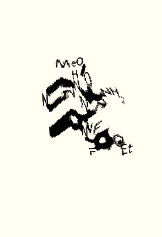 CCOc1cc(F)c(Cn2nc(-c3nc(N)c(OCCOC)c(Nc4ccncn4)n3)c3ccccc32)c(F)c1